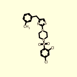 Cc1cccc(Cc2csc(N3CCN(S(=O)(=O)c4ccc(Cl)cc4Cl)CC3)n2)c1